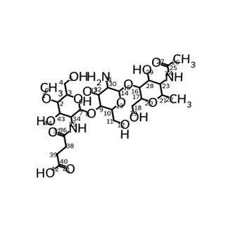 COC1C(CO)OC(OC2C(CO)OC(OC3C(CO)OC(C)C(NC(C)=O)C3O)C(N)C2O)C(NC(=O)CCC(=O)O)C1O